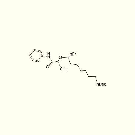 CCCCCCCCCCCCCCCCC(CCC)OC(C)C(=O)Nc1ccccc1